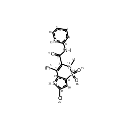 CC(C)C1=C(C(=O)Nc2ccccn2)N(C)S(=O)(=O)c2cc(Cl)sc21